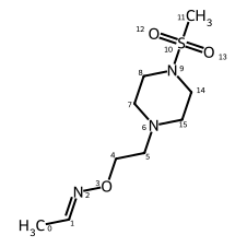 C/C=N/OCCN1CCN(S(C)(=O)=O)CC1